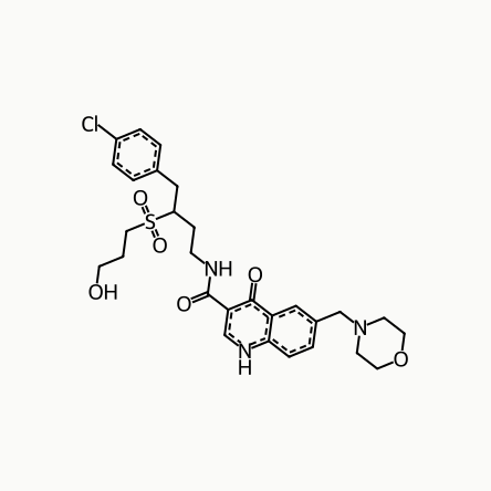 O=C(NCCC(Cc1ccc(Cl)cc1)S(=O)(=O)CCCO)c1c[nH]c2ccc(CN3CCOCC3)cc2c1=O